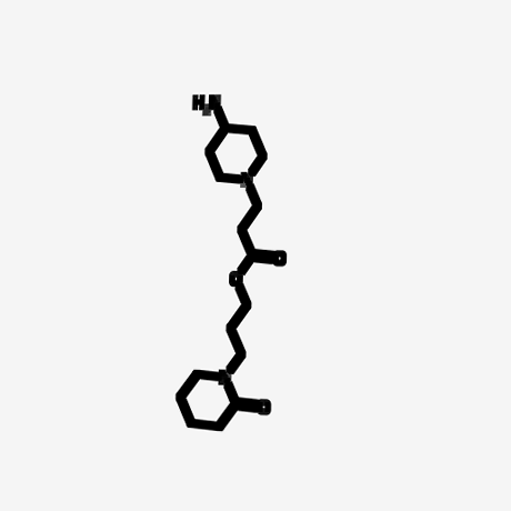 NC1CCN(CCC(=O)OCCCN2CCCCC2=O)CC1